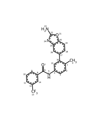 Cc1ccc(NC(=O)c2cccc(C(F)(F)F)c2)cc1-c1ccc2oc(N)nc2c1